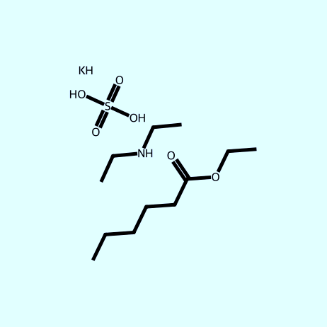 CCCCCC(=O)OCC.CCNCC.O=S(=O)(O)O.[KH]